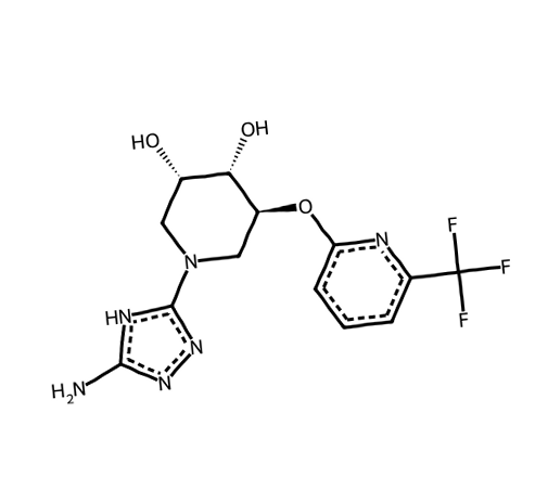 Nc1nnc(N2C[C@H](Oc3cccc(C(F)(F)F)n3)[C@@H](O)[C@@H](O)C2)[nH]1